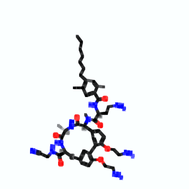 CCCCCCCc1cc(C)c(C(=O)N[C@@H](CCN)C(=O)N(C)[C@@H]2C(=O)N[C@@H](C)C(=O)N[C@H](C(=O)NCC#N)Cc3ccc(OCCN)c(c3)-c3cc2ccc3OCCN)cc1C